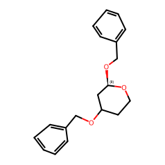 c1ccc(COC2CCO[C@H](OCc3ccccc3)C2)cc1